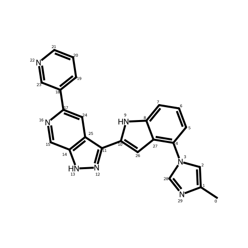 Cc1cn(-c2cccc3[nH]c(-c4n[nH]c5cnc(-c6cccnc6)cc45)cc23)cn1